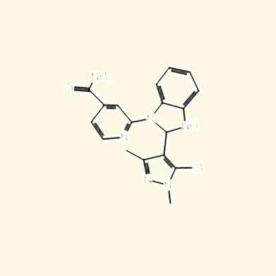 Cc1nn(C)c(Cl)c1C1Nc2ccccc2N1c1cc(C(N)=O)ccn1